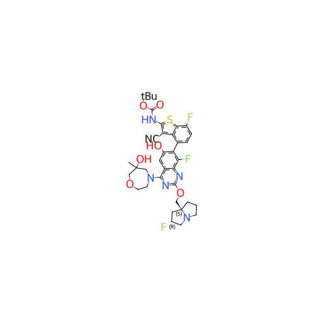 CC1(O)COCCN(c2nc(OC[C@@]34CCCN3C[C@H](F)C4)nc3c(F)c(-c4ccc(F)c5sc(NC(=O)OC(C)(C)C)c(C#N)c45)c(O)cc23)C1